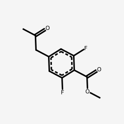 COC(=O)c1c(F)cc(CC(C)=O)cc1F